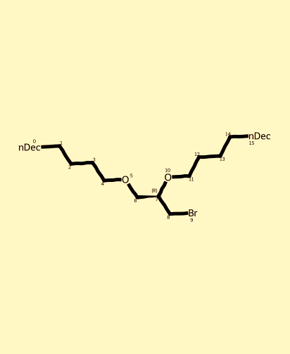 CCCCCCCCCCCCCCOC[C@H](CBr)OCCCCCCCCCCCCCC